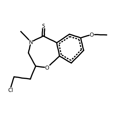 COc1ccc2c(c1)C(=S)N(C)CC(CCCl)O2